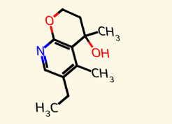 CCc1cnc2c(c1C)C(C)(O)CCO2